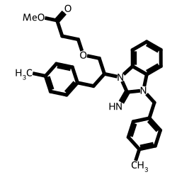 COC(=O)CCOCC(Cc1ccc(C)cc1)n1c(=N)n(Cc2ccc(C)cc2)c2ccccc21